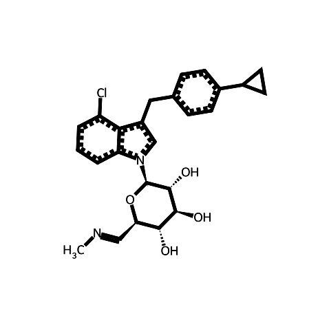 CN=C[C@H]1O[C@@H](n2cc(Cc3ccc(C4CC4)cc3)c3c(Cl)cccc32)[C@H](O)[C@@H](O)[C@@H]1O